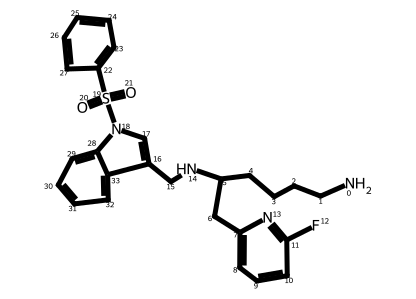 NCCCCC(Cc1cccc(F)n1)NCc1cn(S(=O)(=O)c2ccccc2)c2ccccc12